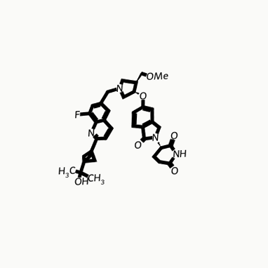 COC[C@@H]1CN(Cc2cc(F)c3nc(C45CC(C(C)(C)O)(C4)C5)ccc3c2)C[C@H]1Oc1ccc2c(c1)CN([C@H]1CCC(=O)NC1=O)C2=O